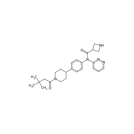 CC(C)(C)CC(=O)N1CCC(c2ccc(N(C(=O)C3CNC3)c3cccnn3)cc2)CC1